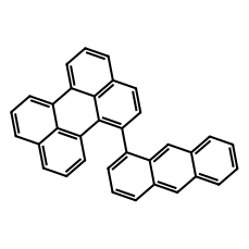 c1ccc2cc3c(-c4ccc5cccc6c7cccc8cccc(c4c56)c87)cccc3cc2c1